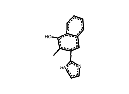 Cc1c(-c2ncc[nH]2)cc2ccccc2c1O